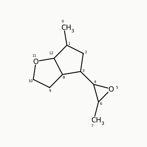 CC1CC(C2OC2C)C2CCOC12